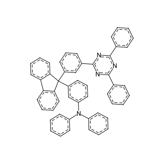 c1ccc(-c2nc(-c3ccccc3)nc(-c3cccc(C4(c5cccc(N(c6ccccc6)c6ccccc6)c5)c5ccccc5-c5ccccc54)c3)n2)cc1